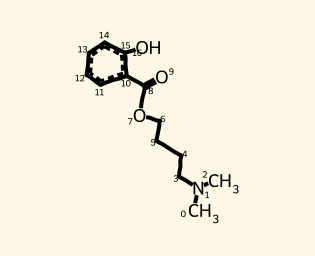 CN(C)CCCCOC(=O)c1ccccc1O